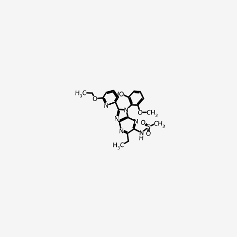 CCOC1=NC(c2nc3nc(CC)c(NS(C)(=O)=O)nc3n2-c2c(O)cccc2OC)=C=C=C1